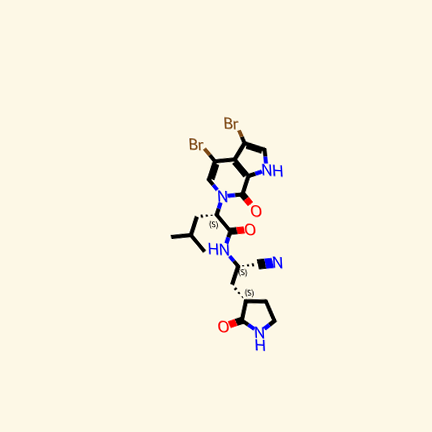 CC(C)C[C@@H](C(=O)N[C@H](C#N)C[C@@H]1CCNC1=O)n1cc(Br)c2c(Br)c[nH]c2c1=O